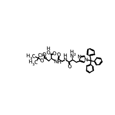 CC(C)(C)OC(=O)C[C@H](NC(=O)CNC(=O)[C@@H](N)Cc1cn(C(c2ccccc2)(c2ccccc2)c2ccccc2)cn1)C(=O)O